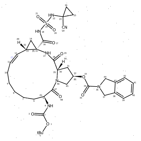 CC(C)(C)OC(=O)N[C@H]1CCCCC/C=C\[C@@H]2C[C@@]2(C(=O)NS(=O)(=O)NC2(C#N)CC2)NC(=O)[C@@H]2C[C@@H](OC(=O)N3Cc4ccccc4C3)CN2C1=O